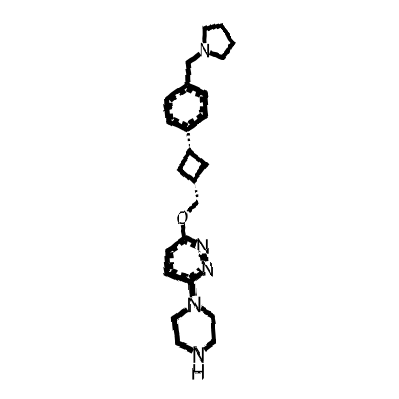 c1cc([C@H]2C[C@@H](COc3ccc(N4CCNCC4)nn3)C2)ccc1CN1CCCC1